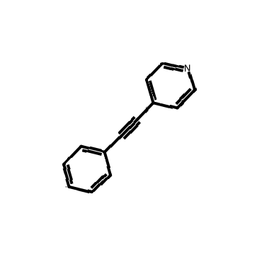 C(#Cc1ccncc1)c1cc[c]cc1